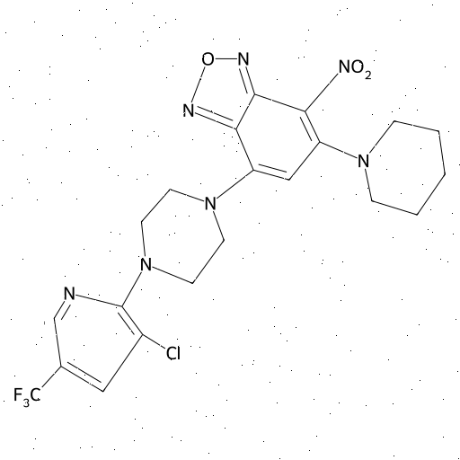 O=[N+]([O-])c1c(N2CCCCC2)cc(N2CCN(c3ncc(C(F)(F)F)cc3Cl)CC2)c2nonc12